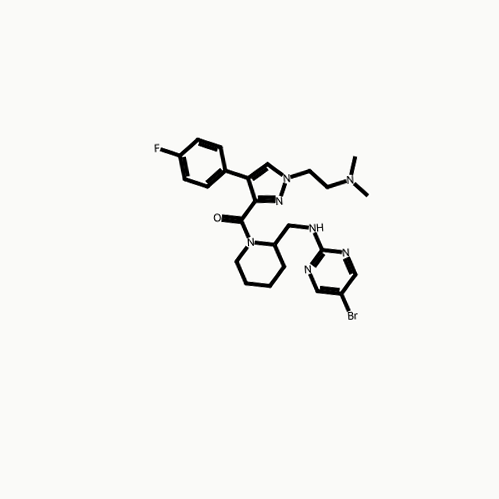 CN(C)CCn1cc(-c2ccc(F)cc2)c(C(=O)N2CCCCC2CNc2ncc(Br)cn2)n1